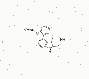 CCCCCOc1ccccc1-c1cccc2c1C1CCNCCC1N2